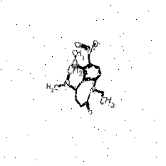 CCN1C(=O)CCC(N(C)C)c2c1ccc([N+](=O)[O-])c2OC